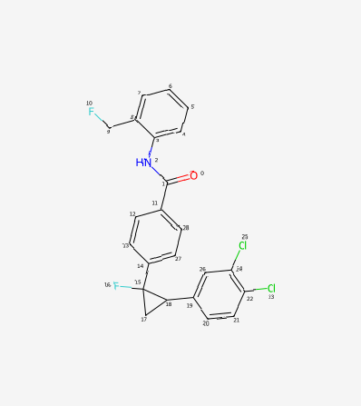 O=C(Nc1ccccc1CF)c1ccc(C2(F)CC2c2ccc(Cl)c(Cl)c2)cc1